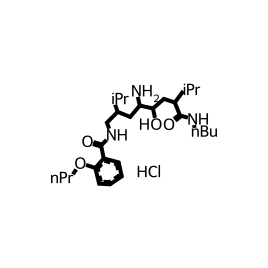 CCCCNC(=O)C(CC(O)C(N)CC(CNC(=O)c1ccccc1OCCC)C(C)C)C(C)C.Cl